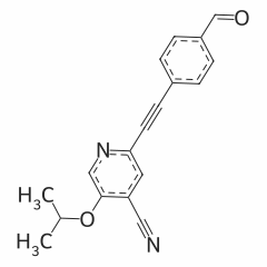 CC(C)Oc1cnc(C#Cc2ccc(C=O)cc2)cc1C#N